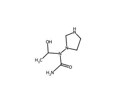 CC(O)N(C(N)=O)N1CCNC1